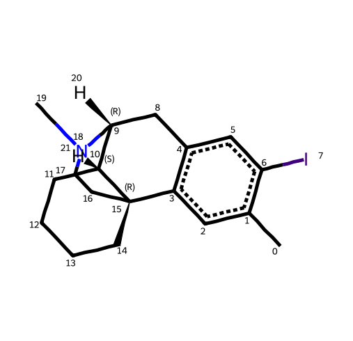 Cc1cc2c(cc1I)C[C@@H]1[C@H]3CCCC[C@]23CCN1C